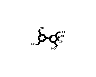 OCC1=CC(c2cc(CO)cc(CO)c2)=CC(CO)C1(O)O